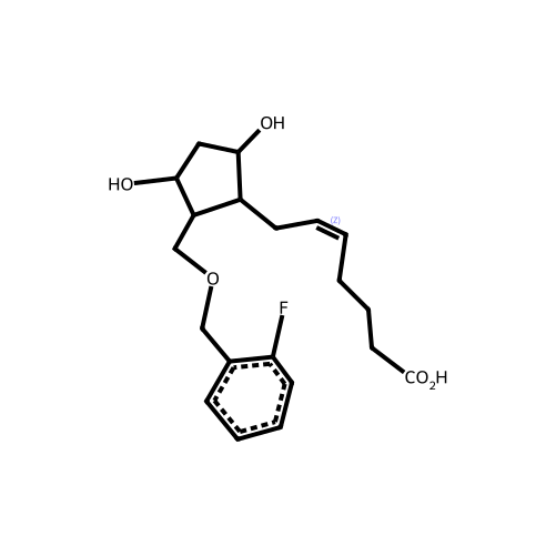 O=C(O)CCC/C=C\CC1C(O)CC(O)C1COCc1ccccc1F